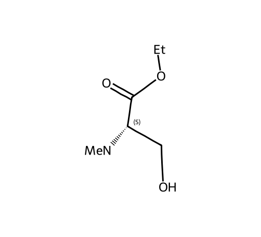 CCOC(=O)[C@H](CO)NC